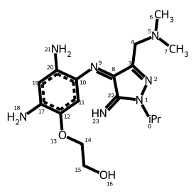 CC(C)N1N=C(CN(C)C)C(=Nc2cc(OCCO)c(N)cc2N)C1=N